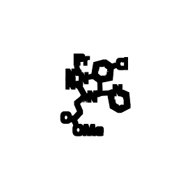 COC(=O)CC[C@@H]1N=C(c2ccccn2)c2cc(Cl)ccc2-n2c(C(C)C)nnc21